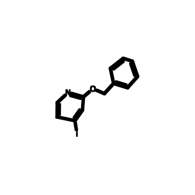 Ic1ccnc(OCc2ccccc2)c1